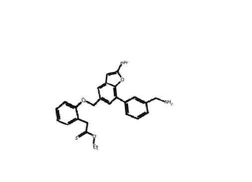 CCCc1cc2cc(COc3ccccc3CC(=S)OCC)cc(-c3cccc(CN)c3)c2o1